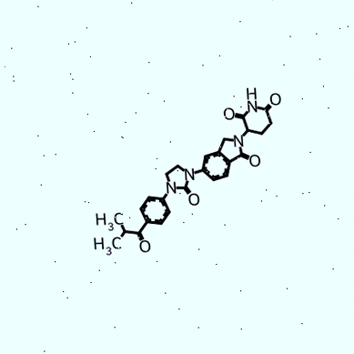 CC(C)C(=O)c1ccc(N2CCN(c3ccc4c(c3)CN(C3CCC(=O)NC3=O)C4=O)C2=O)cc1